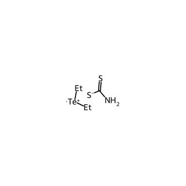 CC[Te+]CC.NC(=S)[S-]